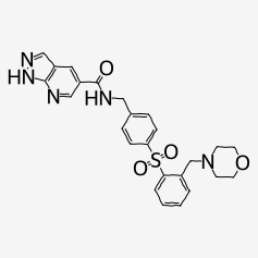 O=C(NCc1ccc(S(=O)(=O)c2ccccc2CN2CCOCC2)cc1)c1cnc2[nH]ncc2c1